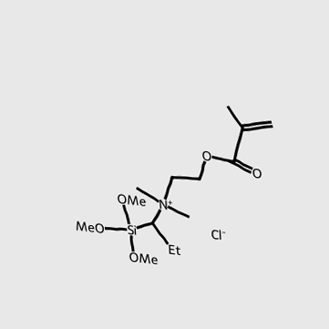 C=C(C)C(=O)OCC[N+](C)(C)C(CC)[Si](OC)(OC)OC.[Cl-]